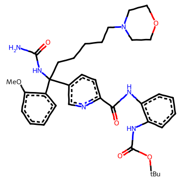 COc1ccccc1C(CCCCCN1CCOCC1)(NC(N)=O)c1ccc(C(=O)Nc2ccccc2NC(=O)OC(C)(C)C)nc1